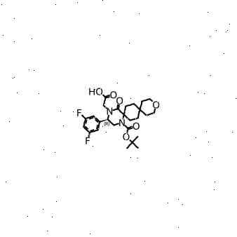 CC(C)(C)OC(=O)N1C[C@@H](c2cc(F)cc(F)c2)N(CC(=O)O)C(=O)C12CCC1(CCOCC1)CC2